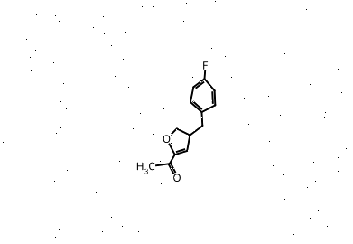 CC(=O)C1=CC(Cc2ccc(F)cc2)CO1